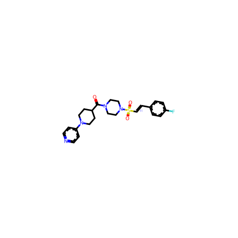 O=C(C1CCN(c2ccncc2)CC1)N1CCN(S(=O)(=O)/C=C/c2ccc(F)cc2)CC1